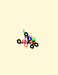 CC(C)(C)[Si](OC[C@](C)(NC(=O)OCc1ccccc1)c1cc(Cl)nc(-c2ccc(F)cc2)c1)(c1ccccc1)c1ccccc1